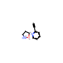 C#Cc1ccccn1.C1CNOC1